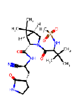 CC(C)(C)[C@H](NS(C)(=O)=O)C(=O)N1C[C@H]2[C@@H]([C@H]1C(=O)N[C@H](C#N)C[C@@H]1CCNC1=O)C2(C)C